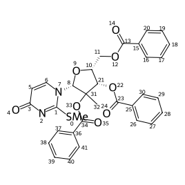 CSc1nc(=O)ccn1[C@@H]1O[C@H](COC(=O)c2ccccc2)[C@H](OC(=O)c2ccccc2)C1(C)OC(=O)c1ccccc1